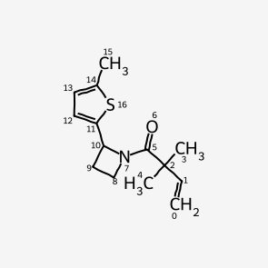 C=CC(C)(C)C(=O)N1CCC1c1ccc(C)s1